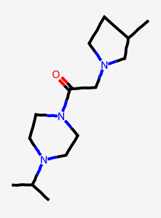 CC1CCN(CC(=O)N2CCN(C(C)C)CC2)C1